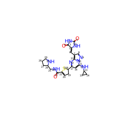 O=C1NC(=O)/C(=C/c2cnn3c(NC4CC4)cc(C4CC=C(C(=O)NCC5CCCN5)S4)nc23)N1